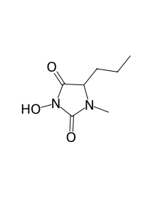 CCCC1C(=O)N(O)C(=O)N1C